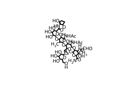 CC(=O)NC1OC(OC2C(COC3OC(CO)C(O)C(O)C3O)OC(OC3C(C)OC(C(N)=O)C(C)(O)C3NOC=O)C(NC(C)=O)C2O)C(C)C(OC2OC(C(=O)NC3=C(O)CCC3=O)C(O)C(O)C2O)C1O